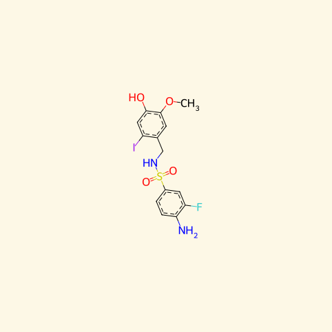 COc1cc(CNS(=O)(=O)c2ccc(N)c(F)c2)c(I)cc1O